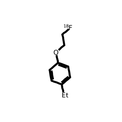 CCc1ccc(OCC[18F])cc1